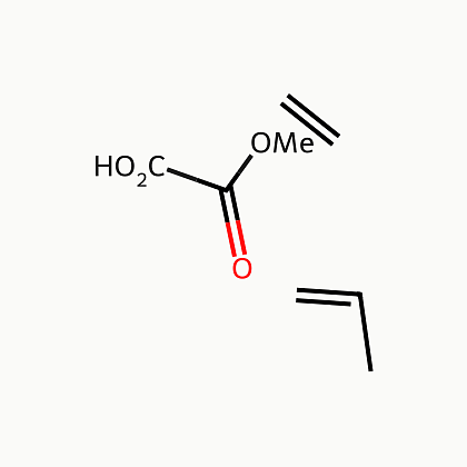 C=C.C=CC.COC(=O)C(=O)O